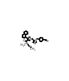 COCCN(C)C(=O)c1cn(Cc2cncn2Cc2ccc(C#N)cc2)nc1-c1cccc2ccccc12